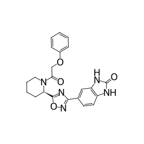 O=C(COc1ccccc1)N1CCCC[C@@H]1c1nc(-c2ccc3[nH]c(=O)[nH]c3c2)no1